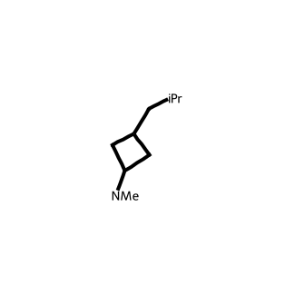 CNC1CC(CC(C)C)C1